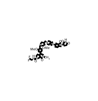 COc1cc(-c2cn(C)c(=O)c3c2CCN(C(=O)NCC(F)F)C3)cc(OC)c1CN1CCC(CN2CCC3(CC2)CN(c2ccc4c(c2)C(=O)N(C2CCC(=O)NC2=O)C4)C3)CC1